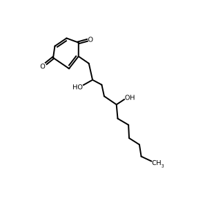 CCCCCCC(O)CCC(O)CC1=CC(=O)C=CC1=O